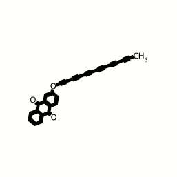 CC#CC#CC#CC#CC#CC#COc1ccc2c(c1)C(=O)c1ccccc1C2=O